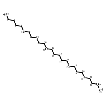 SCCCCSCCSCCOCCCCCSCCCSCCOS